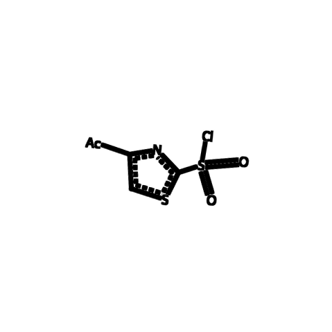 CC(=O)c1csc(S(=O)(=O)Cl)n1